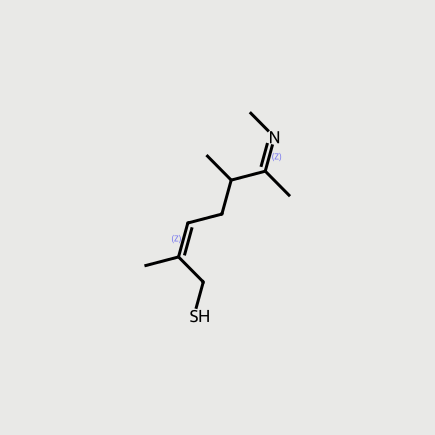 C/N=C(/C)C(C)C/C=C(/C)CS